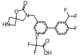 O=C(O)C(F)(F)F.O=C1OC2(CNC2)CN1Cc1cncc(-c2ccc(F)c(C(F)F)c2)c1